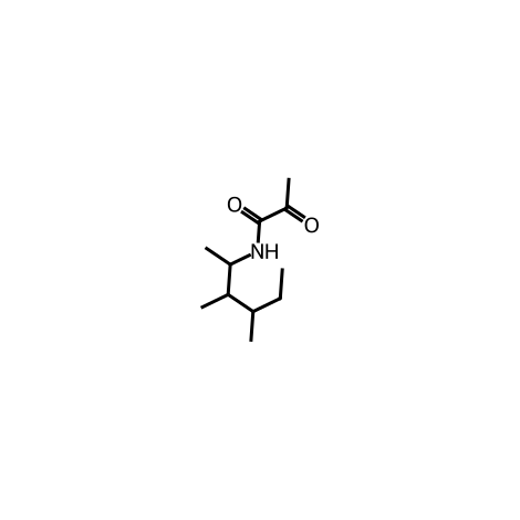 CCC(C)C(C)C(C)NC(=O)C(C)=O